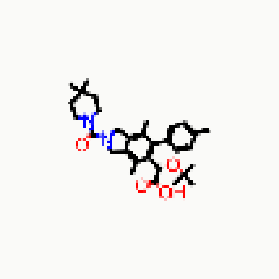 Cc1ccc(-c2c(C)c3c(c(C)c2[C@H](OC(C)(C)C)C(=O)O)CN(C(=O)N2CCC(C)(C)CC2)C3)cc1